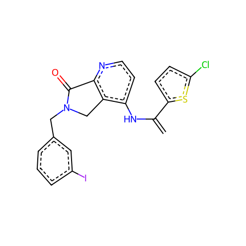 C=C(Nc1ccnc2c1CN(Cc1cccc(I)c1)C2=O)c1ccc(Cl)s1